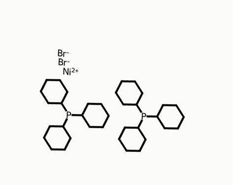 C1CCC(P(C2CCCCC2)C2CCCCC2)CC1.C1CCC(P(C2CCCCC2)C2CCCCC2)CC1.[Br-].[Br-].[Ni+2]